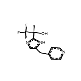 C[C@@](O)(c1ncc(Cc2ccncc2)[nH]1)C(F)(F)F